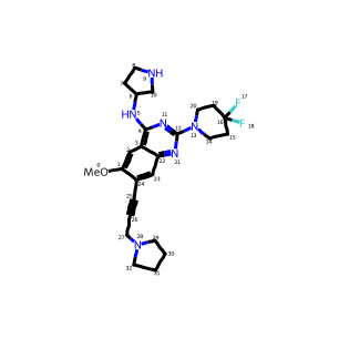 COc1cc2c(NC3CCNC3)nc(N3CCC(F)(F)CC3)nc2cc1C#CCN1CCCC1